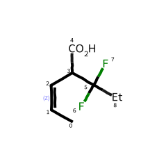 C/C=C\C(C(=O)O)C(F)(F)CC